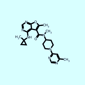 Cc1cc(N2CCC(N(C)C(=O)c3c(C)oc4ncnc(NC5(C)CC5)c34)CC2)ncn1